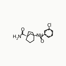 NC(=O)[C@@]12CCC[C@@](NC(=O)c3cccc(Cl)c3)(CC1)C2